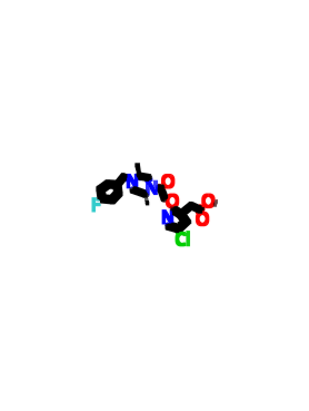 COC(=O)Cc1cc(Cl)cnc1OCC(=O)N1C[C@H](C)N(Cc2ccc(F)cc2)C[C@H]1C